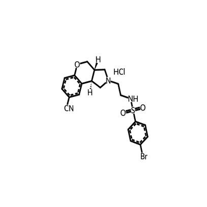 Cl.N#Cc1ccc2c(c1)[C@@H]1CN(CCNS(=O)(=O)c3ccc(Br)cc3)C[C@H]1CO2